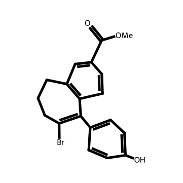 COC(=O)c1ccc2c(c1)CCCC(Br)=C2c1ccc(O)cc1